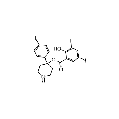 O=C(OC1(c2ccc(I)cc2)CCNCC1)c1cc(I)cc(I)c1O